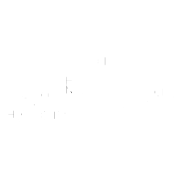 Cc1cccc(CC/C(=C\Cl)CNC(=O)OC(C)(C)C)c1